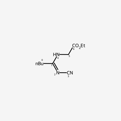 CCCCC(=NC#N)NCC(=O)OCC